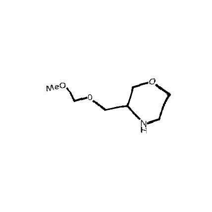 COCOCC1COCCN1